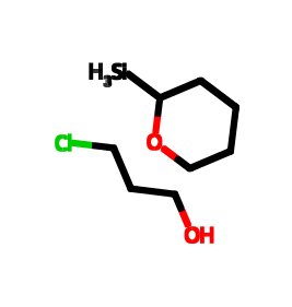 OCCCCl.[SiH3]C1CCCCO1